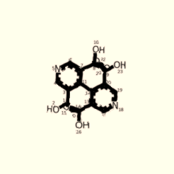 O=C(O)c1cncc(C(=O)O)c1-c1c(C(=O)O)cncc1C(=O)O